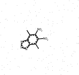 Cc1c([N+](=O)[O-])c([N+](=O)[O-])c(C)c2nsnc12